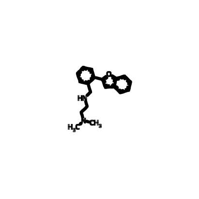 CN(C)CCNCc1ccccc1-c1cc2ccccc2o1